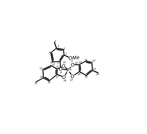 COc1cc(C)ccc1OP12(Oc3ccc(C)cc3O1)Oc1ccc(C)cc1O2